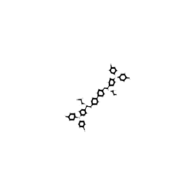 CCC(CC)C(=O)OC(Cc1ccc(-c2ccc(CC(OC(=O)C(CC)CC)c3ccc(N(c4ccc(C)cc4)c4ccc(C)cc4)cc3)cc2)cc1)c1ccc(N(c2ccc(C)cc2)c2ccc(C)cc2)cc1